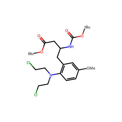 COc1ccc(N(CCCl)CCCl)c(CC(CC(=O)OC(C)(C)C)NC(=O)OC(C)(C)C)c1